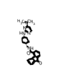 CN(C)c1ccnc(N[C@H]2CC[C@@H](CNC(=O)c3cccc4c3-c3ccccc3C4=O)CC2)n1